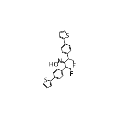 ON=C(C(CF)c1ccc(-c2cccs2)cc1)C(CF)c1ccc(-c2cccs2)cc1